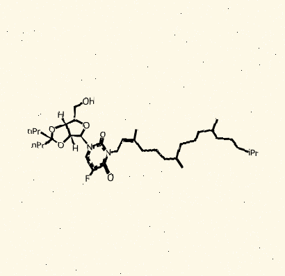 CCCC1(CCC)O[C@@H]2[C@H](O1)[C@@H](CO)O[C@H]2n1cc(F)c(=O)n(CC=C(C)CCCC(C)CCCC(C)CCCC(C)C)c1=O